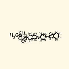 CC(C)(C)OC(=O)N1CC2CN(c3ccc(-c4cc5ccccc5s4)nc3)CC2C1